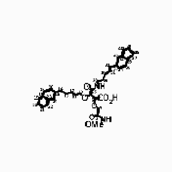 CONC(=O)COC(C(=O)O)C(OCCCCCc1ccc2ccccc2c1)C(=O)NCCCCCc1ccc2ccccc2c1